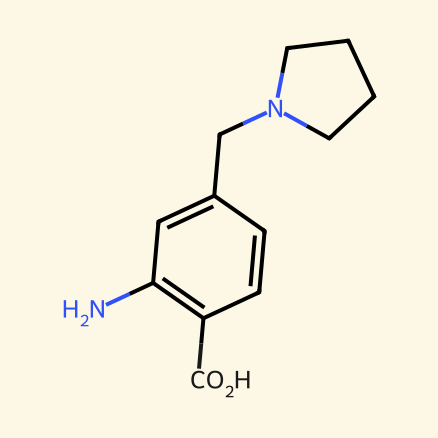 Nc1cc(CN2CCCC2)ccc1C(=O)O